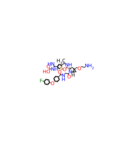 CC(NC(=O)[C@@H]1C[C@]2(COCCN)C[C@@H]2N1C(=O)CNC(=O)c1ccc(Oc2ccc(F)cc2)cc1)c1cc(C(=N)NC(=O)O)cs1